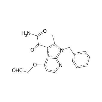 Cc1c(C(=O)C(N)=O)c2c(OCC=O)ccnc2n1Cc1ccccc1